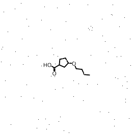 CCCCOC1CCC(C(=O)O)C1